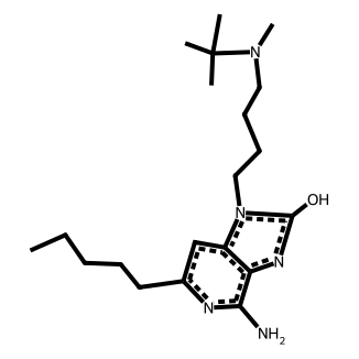 CCCCCc1cc2c(nc(O)n2CCCCN(C)C(C)(C)C)c(N)n1